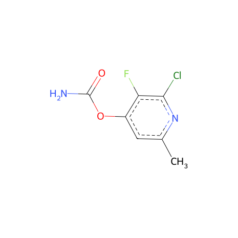 Cc1cc(OC(N)=O)c(F)c(Cl)n1